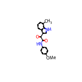 COc1ccc(NC(=O)C(=O)c2c[nH]c3c(C)cccc23)cc1